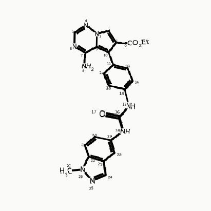 CCOC(=O)c1cn2ncnc(N)c2c1-c1ccc(NC(=O)Nc2ccc3c(cnn3C)c2)cc1